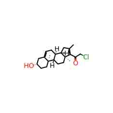 CC1=C(C(=O)CCl)[C@@]2(C)CC[C@H]3[C@@H](CC=C4C[C@@H](O)CC[C@@]43C)[C@@H]2C1